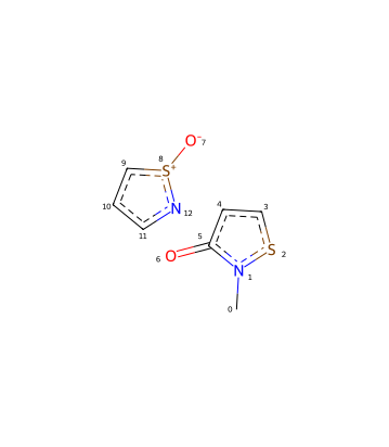 Cn1sccc1=O.[O-][s+]1cccn1